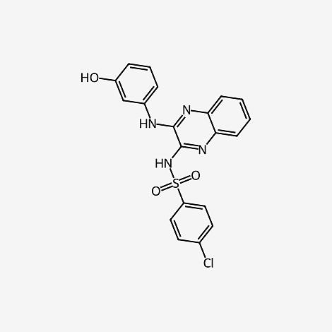 O=S(=O)(Nc1nc2ccccc2nc1Nc1cccc(O)c1)c1ccc(Cl)cc1